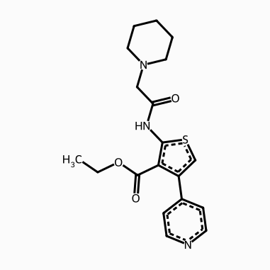 CCOC(=O)c1c(-c2ccncc2)csc1NC(=O)CN1CCCCC1